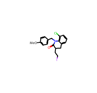 COc1ccc(CN2C(=O)C(CCI)Cc3cccc(Cl)c32)cc1